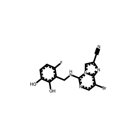 N#Cc1cn2c(NCc3c(F)ccc(O)c3O)ncc(Br)c2n1